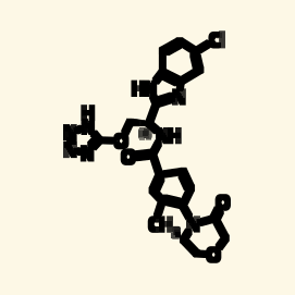 Cc1cc(C(=O)N[C@@H](COc2nnn[nH]2)c2nc3cc(Cl)ccc3[nH]2)ccc1N1CCOCC1=O